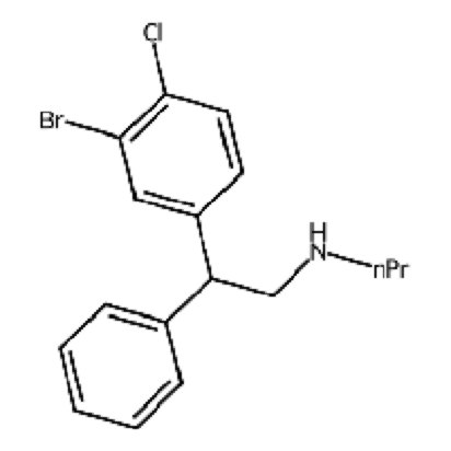 CCCNCC(c1ccccc1)c1ccc(Cl)c(Br)c1